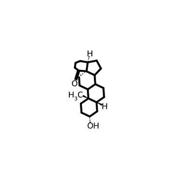 C[C@]12CC[C@@H](O)C[C@H]1CCC1C2CC[C@]23C(=O)CCC[C@H]2CCC13